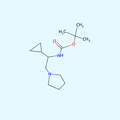 CC(C)(C)OC(=O)NC(CN1CCCC1)C1CC1